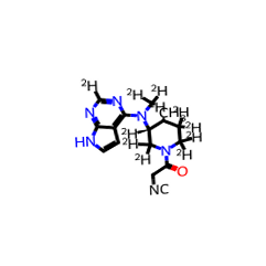 [2H]c1nc(N(C([2H])([2H])[2H])[C@]2([2H])[C@H](C)C([2H])([2H])C([2H])([2H])N(C(=O)C[N+]#[C-])C2([2H])[2H])c2cc[nH]c2n1